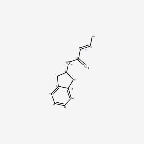 C/C=C/C(=O)NC1Cc2ccccc2C1